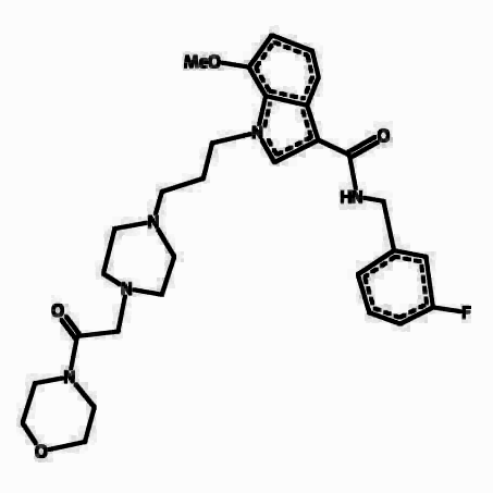 COc1cccc2c(C(=O)NCc3cccc(F)c3)cn(CCCN3CCN(CC(=O)N4CCOCC4)CC3)c12